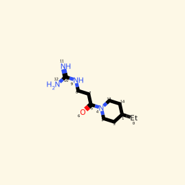 CCC1CCN(C(=O)CCNC(=N)N)CC1